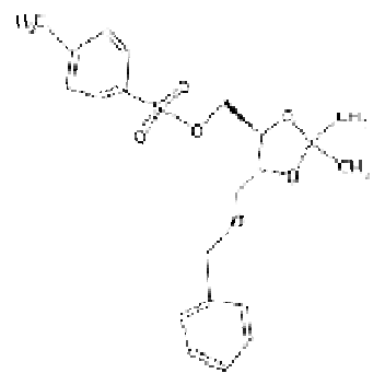 Cc1ccc(S(=O)(=O)OC[C@H]2OC(C)(C)O[C@@H]2COCc2ccccc2)cc1